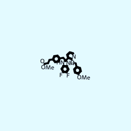 COC(=O)CCc1ccc(CC2(c3cccnc3OCc3ccc(OC)cc3)Nc3cc(F)c(F)cc3N2)cc1